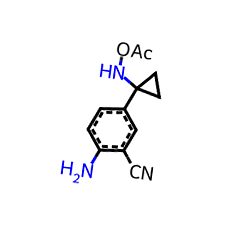 CC(=O)ONC1(c2ccc(N)c(C#N)c2)CC1